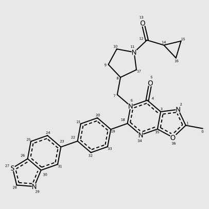 Cc1nc2c(=O)n(CC3CCN(C(=O)C4CC4)C3)c(-c3ccc(-c4ccc5scnc5c4)cc3)nc2o1